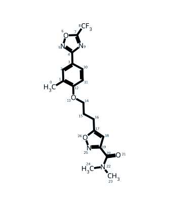 Cc1cc(-c2noc(C(F)(F)F)n2)ccc1OCCCc1cc(C(=O)N(C)C)no1